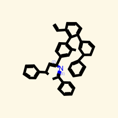 C=Cc1cccc(C2=CC(c3ccccc3)CC=C2)c1-c1ccc(C(=C/C(C)c2ccccc2)/N=C(\C)c2ccccc2)cc1C